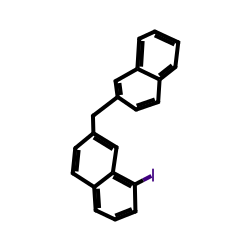 Ic1cccc2ccc(Cc3ccc4ccccc4c3)cc12